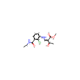 CCNC(=O)c1cccc(NC=C(C(C)=O)C(=O)OC)c1Cl